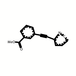 COC(=O)c1cccc(C#Cc2ccccn2)c1